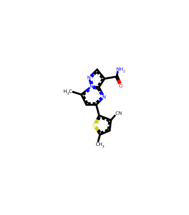 Cc1cc(C#N)c(-c2cc(C)n3ncc(C(N)=O)c3n2)s1